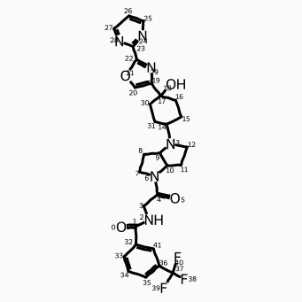 O=C(NCC(=O)N1CCC2C1CCN2C1CCC(O)(c2coc(-c3ncccn3)n2)CC1)c1cccc(C(F)(F)F)c1